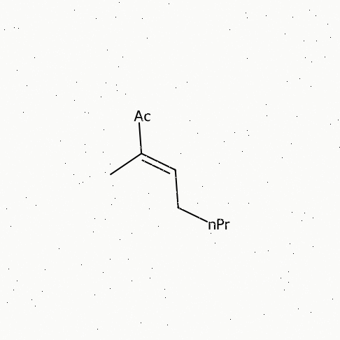 CCCCC=C(C)C(C)=O